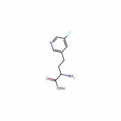 COC(=O)C(N)CCc1cncc(F)c1